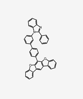 c1ccc(-c2nc3ccccc3n2-c2cccc(-c3ccc(-c4c5oc6ccccc6c5cc5c4oc4ccccc45)cc3)c2)cc1